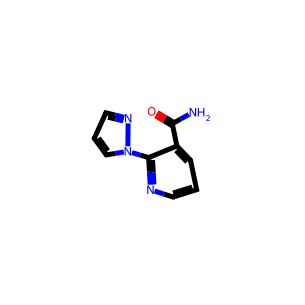 NC(=O)c1cccnc1-n1cccn1